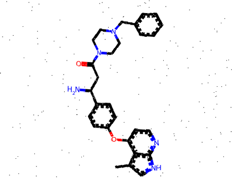 Cc1c[nH]c2nccc(Oc3ccc(C(N)CC(=O)N4CCN(Cc5ccccc5)CC4)cc3)c12